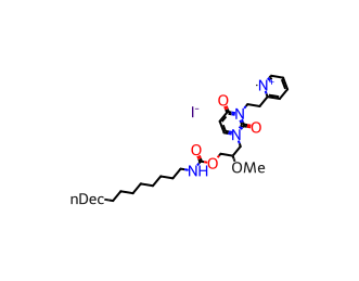 CCCCCCCCCCCCCCCCCCNC(=O)OCC(Cn1ccc(=O)n(CCC2=CC=CC=[N+]2)c1=O)OC.[I-]